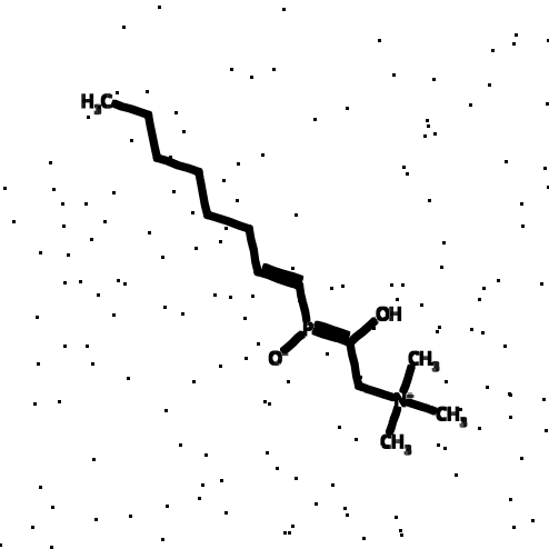 CCCCCCC=C[P+]([O-])=C(O)C[N+](C)(C)C